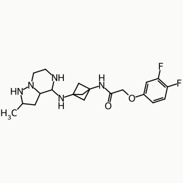 CC1CC2C(NC34CC(NC(=O)COc5ccc(F)c(F)c5)(C3)C4)NCCN2N1